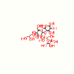 OCC(O)CO.OCC(O)CO.OCC(O)CO.OC[C@H]1O[C@@H](O[C@H]2[C@H](O)[C@@H](O)[C@H](O)O[C@@H]2CO)[C@H](O)[C@@H](O)[C@H]1O